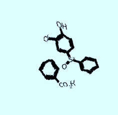 O=C(O)c1ccccc1.[O-][S+](c1ccccc1)c1ccc(O)c(Cl)c1